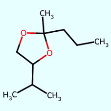 CCCC1(C)OCC(C(C)C)O1